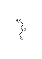 CCCC[CH2][Cd].Cl